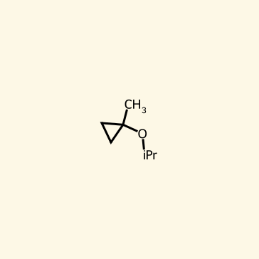 CC(C)OC1(C)CC1